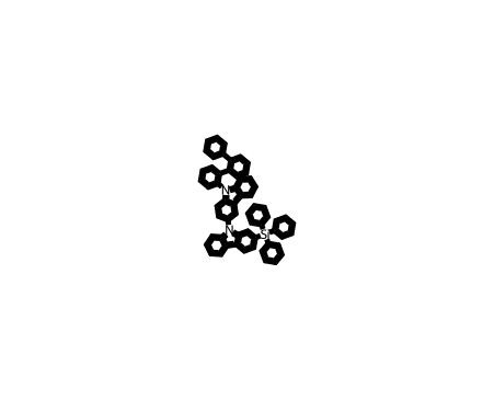 c1ccc(-c2ccccc2-c2ccccc2-n2c3ccccc3c3cc(-n4c5ccccc5c5ccc([Si](c6ccccc6)(c6ccccc6)c6ccccc6)cc54)ccc32)cc1